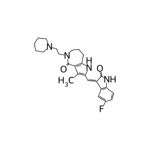 Cc1c(/C=C2\C(=O)Nc3ccc(F)cc32)[nH]c2c1C(=O)N(CCN1CCCCC1)CCC2